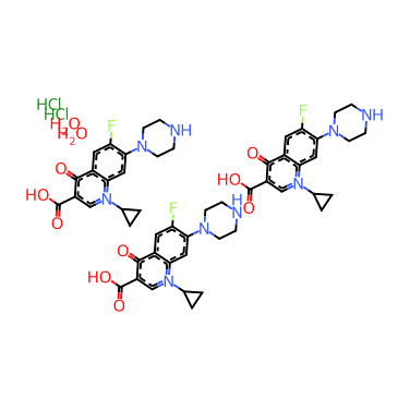 Cl.Cl.O.O.O=C(O)c1cn(C2CC2)c2cc(N3CCNCC3)c(F)cc2c1=O.O=C(O)c1cn(C2CC2)c2cc(N3CCNCC3)c(F)cc2c1=O.O=C(O)c1cn(C2CC2)c2cc(N3CCNCC3)c(F)cc2c1=O